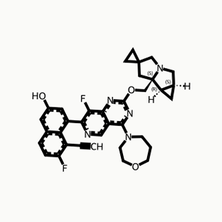 C#Cc1c(F)ccc2cc(O)cc(-c3ncc4c(N5CCCOCC5)nc(OC[C@@]56CC7(CC7)CN5C[C@H]5C[C@H]56)nc4c3F)c12